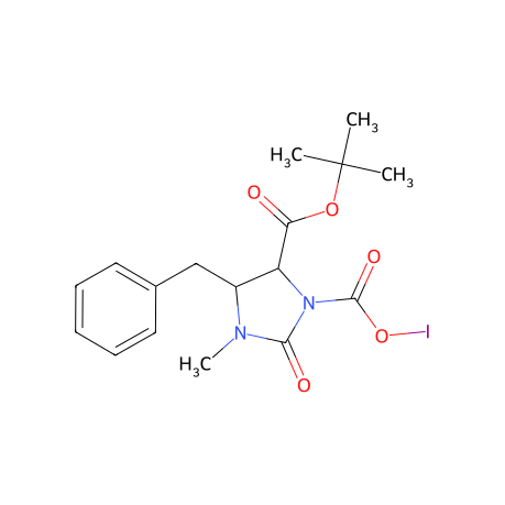 CN1C(=O)N(C(=O)OI)C(C(=O)OC(C)(C)C)C1Cc1ccccc1